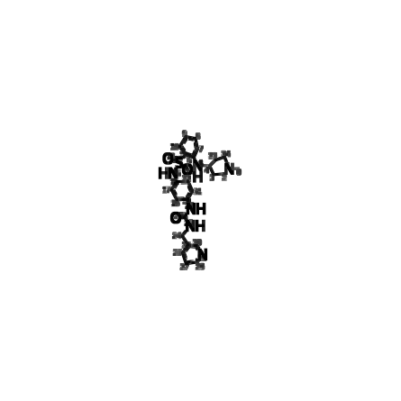 CN1CCC(Nc2ccccc2S(=O)(=O)Nc2ccc(NC(=O)NCc3cccnc3)cc2)CC1